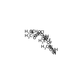 CCC(CCN(C)C)C(=O)N1CCN(C(=O)c2ccc(NC(=O)c3ncc(-c4ccc(-c5cn(CC(=O)Nc6cccnn6)nc5C)c(F)c4F)n3C)cc2Cl)CC1